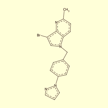 Cc1ccc2c(n1)c(Br)cn2Cc1ccc(-n2cccn2)cc1